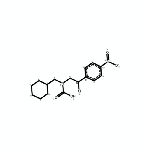 O=C(O)N(CC1CCCCC1)CC(Cl)c1ccc([N+](=O)[O-])cc1